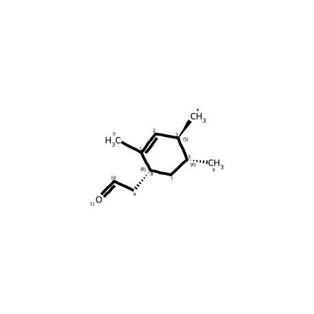 CC1=C[C@@H](C)[C@H](C)C[C@@H]1CC=O